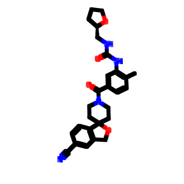 Cc1ccc(C(=O)N2CCC3(CC2)OCc2cc(C#N)ccc23)cc1NC(=O)NC[C@H]1CCCO1